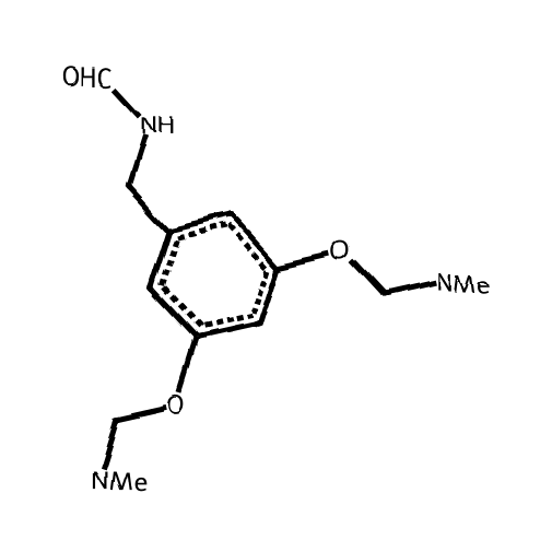 CNCOc1cc(CNC=O)cc(OCNC)c1